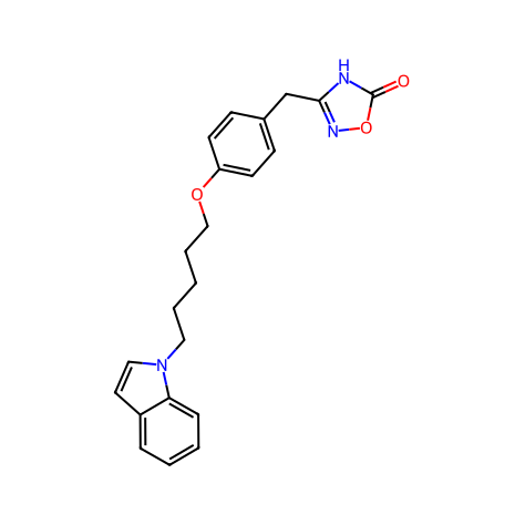 O=c1[nH]c(Cc2ccc(OCCCCCn3ccc4ccccc43)cc2)no1